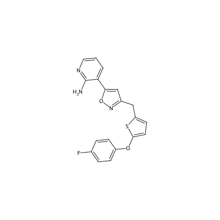 Nc1ncccc1-c1cc(Cc2ccc(Oc3ccc(F)cc3)s2)no1